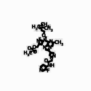 Cc1cn2c(-c3cnn(CC(=O)Nc4ccncc4F)c3)cnc2c(N(COCC[Si](C)(C)C)c2cc(COS(C)(=O)=O)ns2)n1